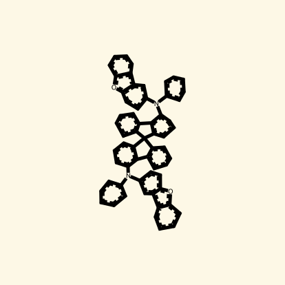 c1ccc(N(c2ccc3oc4ccccc4c3c2)c2cccc3c2-c2ccccc2C32c3ccccc3-c3c(N(c4ccccc4)c4ccc5oc6ccccc6c5c4)cccc32)cc1